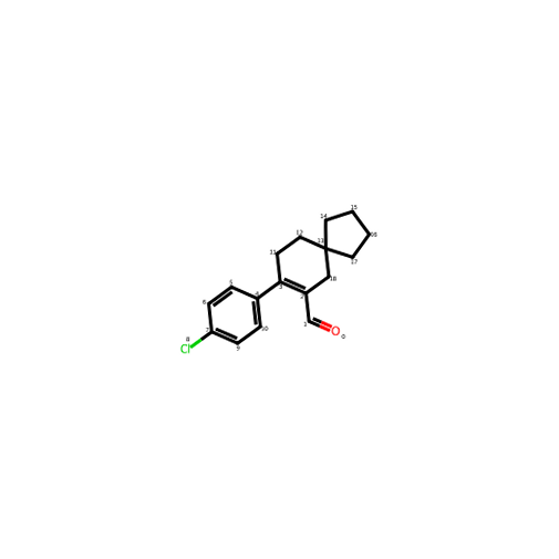 O=CC1=C(c2ccc(Cl)cc2)CCC2(CCCC2)C1